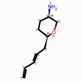 C=C/C=C/C[C@H]1CC[C@@H](N)CO1